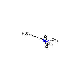 CCCCCCCCCCCCCCCCCn1cc(CC(C)c2ccccc2)[n+](CCCCCC)c1Cc1ccccc1